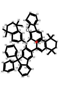 CC1(C)CCC(C)(C)c2cc(-c3cc4c(cc3N(c3ccc5c(c3)C(C)(C)CCC5(C)C)c3cccc5c3oc3ccccc35)C(c3ccccc3)(c3ccccc3)c3ccccc3-4)ccc21